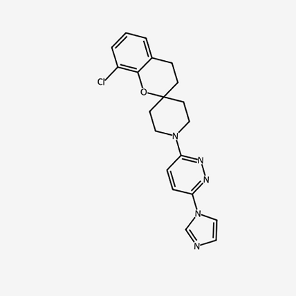 Clc1cccc2c1OC1(CC2)CCN(c2ccc(-n3ccnc3)nn2)CC1